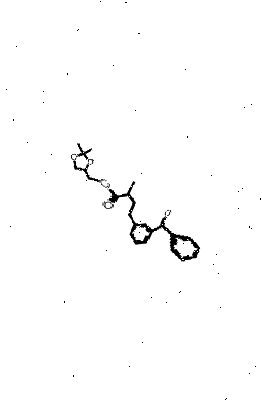 CC(CCc1cccc(C(=O)c2ccccc2)c1)C(=O)OCC1COC(C)(C)O1